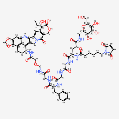 CC[C@@]1(O)C(=O)OCc2c1cc1n(c2=O)Cc2c-1nc1cc3c(c4c1c2[C@@H](NC(=O)COCNC(=O)CNC(=O)[C@H](Cc1ccccc1)NC(=O)CNC(=O)CNC(=O)[C@H](CCC(=O)NC[C@@H]1O[C@H](CO)[C@@H](O)[C@H](O)[C@H]1O)NC(=O)CCCCCN1C(=O)C=CC1=O)CC4)OCO3